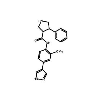 COc1cc(-c2cn[nH]c2)ccc1NC(=O)C1CNCC1c1ccccc1